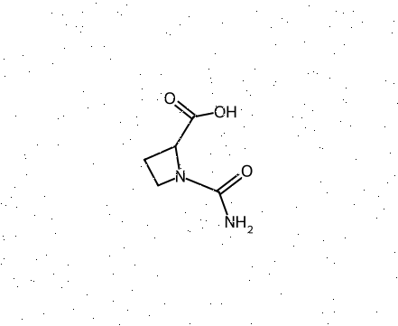 NC(=O)N1CCC1C(=O)O